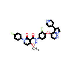 COc1ccn(-c2ccc(F)cc2)c(=O)c1C(=O)Nc1ccc(Oc2ccnn3ccc(-c4ccncc4)c23)c(F)c1